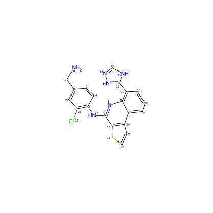 NCc1ccc(Nc2nc3c(-c4nnc[nH]4)cccc3c3ccsc23)c(Cl)c1